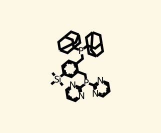 C[Si](C)(C)c1ccc(CP(C23CC4CC(CC(C4)C2)C3)C23CC4CC(CC(C4)C2)C3)c(CP(c2ncccn2)c2ncccn2)c1